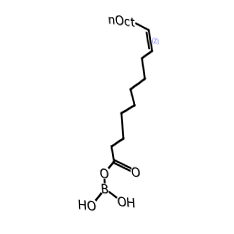 CCCCCCCC/C=C\CCCCCCCC(=O)OB(O)O